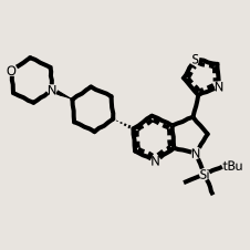 CC(C)(C)[Si](C)(C)N1CC(c2cscn2)c2cc([C@H]3CC[C@H](N4CCOCC4)CC3)cnc21